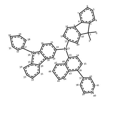 CC1(C)c2ccccc2-c2ccc(N(c3ccc4c(c3)c3ccccc3n4-c3ccccc3)c3ccc(-c4ccncc4)c4ccccc34)cc21